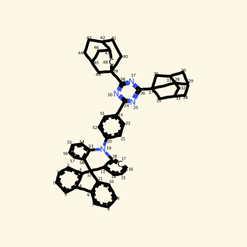 c1ccc2c(c1)-c1ccccc1C21c2ccccc2N(c2ccc(-c3nc(C45CC6CC(CC(C6)C4)C5)nc(C45CCC6CCC(CC6C4)C5)n3)cc2)c2ccccc21